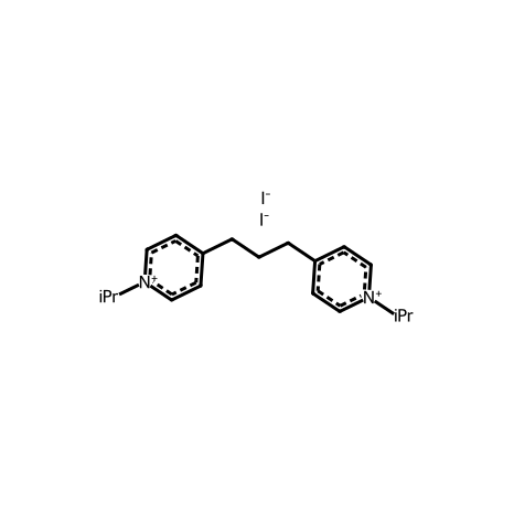 CC(C)[n+]1ccc(CCCc2cc[n+](C(C)C)cc2)cc1.[I-].[I-]